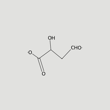 [O]C(=O)C(O)C[C]=O